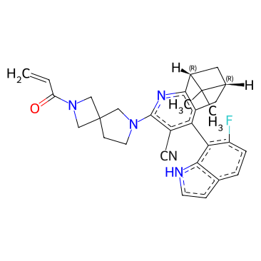 C=CC(=O)N1CC2(CCN(c3nc4c(c(-c5c(F)ccc6cc[nH]c56)c3C#N)C[C@H]3C[C@@H]4C3(C)C)C2)C1